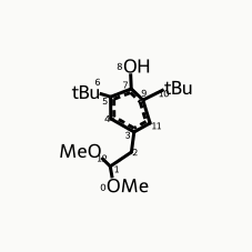 COC(Cc1cc(C(C)(C)C)c(O)c(C(C)(C)C)c1)OC